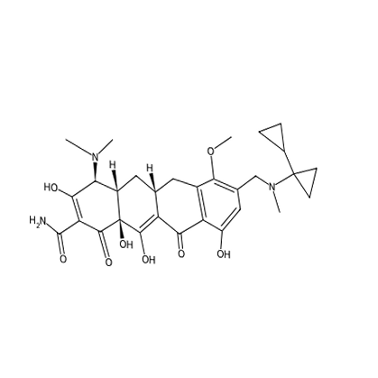 COc1c(CN(C)C2(C3CC3)CC2)cc(O)c2c1C[C@H]1C[C@H]3[C@H](N(C)C)C(O)=C(C(N)=O)C(=O)[C@@]3(O)C(O)=C1C2=O